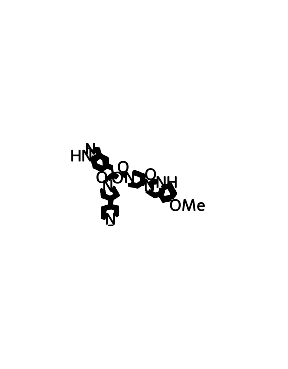 COc1ccc2c(c1)CCN(C1CCN(C(=O)O[C@H](Cc3ccc4[nH]ncc4c3)C(=O)N3CCC(C4CCN(C)CC4)CC3)CC1)C(=O)N2